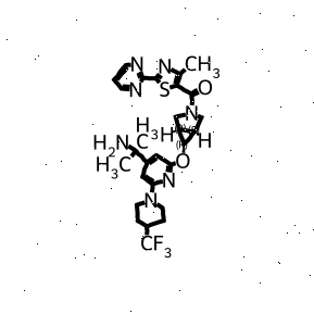 Cc1nc(-c2ncccn2)sc1C(=O)N1C[C@@H]2[C@H](C1)[C@@H]2Oc1cc(C(C)(C)N)cc(N2CCC(C(F)(F)F)CC2)n1